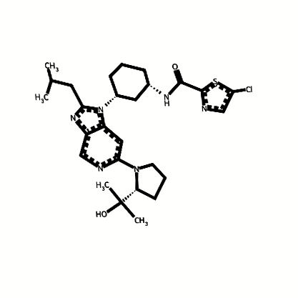 CC(C)Cc1nc2cnc(N3CCC[C@@H]3C(C)(C)O)cc2n1[C@@H]1CCC[C@H](NC(=O)c2ncc(Cl)s2)C1